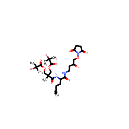 C#CCCC(NC(=O)C(C)(COC(=O)C(C)(C)Br)COC(=O)C(C)(C)Br)C(=O)NCCC(=O)CON1C(=O)CCC1=O